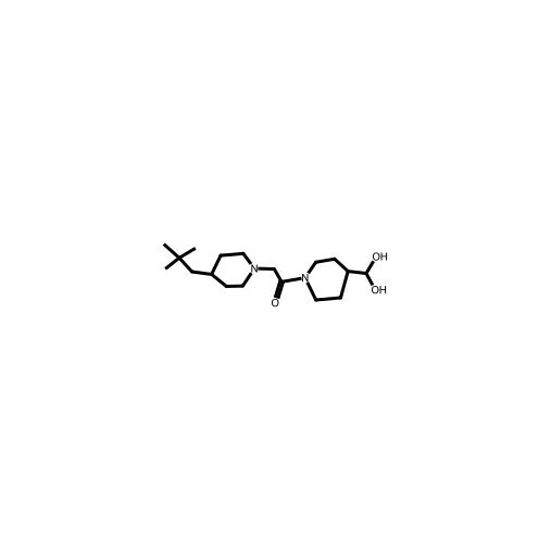 CC(C)(C)CC1CCN(CC(=O)N2CCC(C(O)O)CC2)CC1